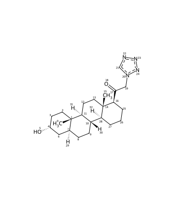 C[C@]12CC[C@@H](O)C[C@@H]1CC[C@@H]1[C@@H]2CC[C@]2(C)[C@@H](C(=O)Cn3cnnn3)CCC[C@@H]12